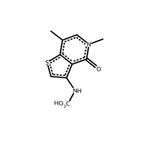 Cc1cn(C)c(=O)c2c(NC(=O)O)csc12